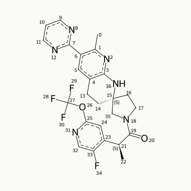 Cc1nc2c(cc1-c1ncccn1)CC[C@@]1(CCN(C(=O)[C@@H](C)c3cc(OC(F)(F)F)ncc3F)C1)N2